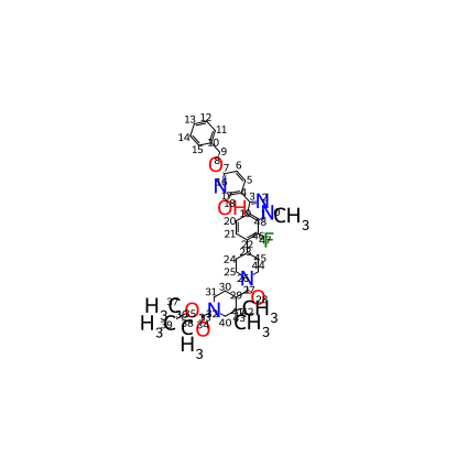 Cn1nc(-c2ccc(OCc3ccccc3)nc2O)c2ccc(C3CCN(C(=O)C4CCN(C(=O)OC(C)(C)C)CC4(C)C)CC3)c(F)c21